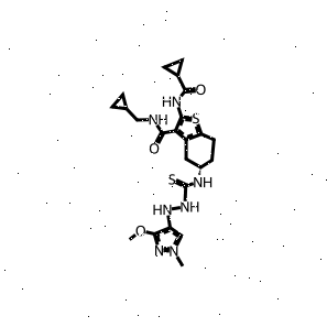 COc1nn(C)cc1NNC(=S)N[C@H]1CCc2sc(NC(=O)C3CC3)c(C(=O)NCC3CC3)c2C1